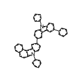 c1ccc(-c2ccc3c(c2)c2cc(-c4ccc5c(c4)c4c6ccccc6ccc4n5-c4ccccc4)ccc2n3-c2ccccc2)cc1